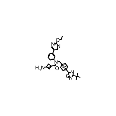 CCOc1ncc(-c2cccc(N(CC34CCC(c5nc(C(C)(C)C)no5)(CC3)CC4)C(=O)C34CC(N)(C3)C4)c2)cn1